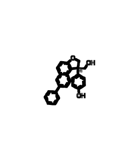 OC[C@]1(c2ccc(O)cc2)COc2ccc3cc(-c4ccccc4)ccc3c21